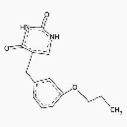 CCCOc1cccc(Cc2c[nH]c(=O)[nH]c2=O)c1